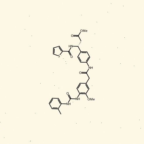 COC(=O)C[C@@H](NC(=O)c1cccs1)c1ccc(NC(=O)Cc2ccc(NC(=O)Nc3ccccc3C)c(OC)c2)cc1